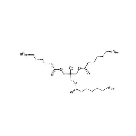 CCCCCCCCCCCCCCCC(=O)OCC(CC)(COC(=O)CCCCCCCCCCCCCCC)COC(=O)CCCCCCCCCCCCCCC